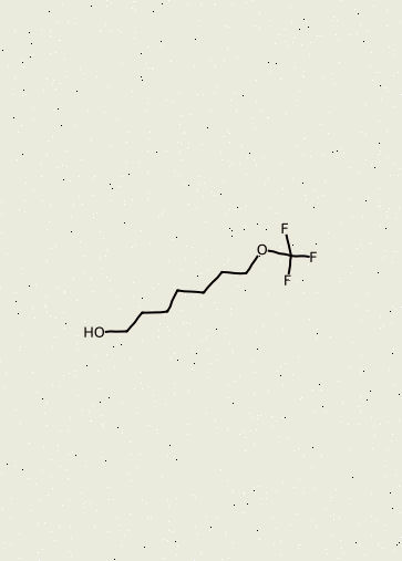 OCCCCCCCOC(F)(F)F